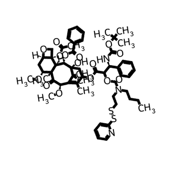 CCCCN(CCSSc1ccccn1)C(=O)OC(C(=O)OC1C[C@@]2(O)[C@@H](OC(=O)c3ccccc3)[C@@H]3[C@]4(OC(C)=O)CO[C@@H]4C[C@H](OC)[C@@]3(C)C(=O)[C@H](OC)C(=C1C)C2(C)C)[C@@H](NC(=O)OC(C)(C)C)c1ccccc1